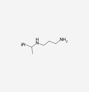 CC(C)C(C)NCCCN